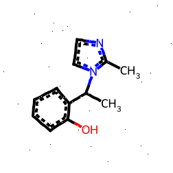 Cc1nccn1C(C)c1ccccc1O